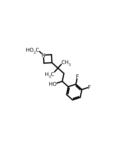 CC(C)(CC(O)c1cccc(F)c1F)C1CN(C(=O)O)C1